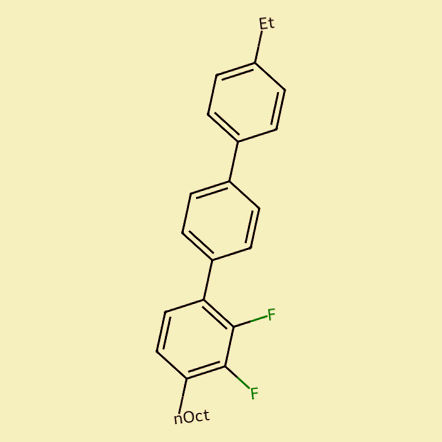 CCCCCCCCc1ccc(-c2ccc(-c3ccc(CC)cc3)cc2)c(F)c1F